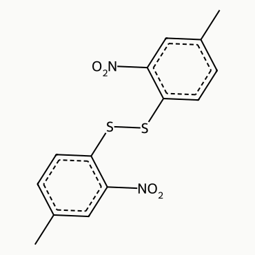 Cc1ccc(SSc2ccc(C)cc2[N+](=O)[O-])c([N+](=O)[O-])c1